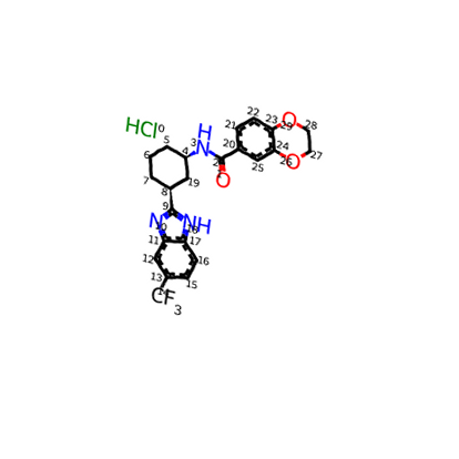 Cl.O=C(N[C@@H]1CCC[C@H](c2nc3cc(C(F)(F)F)ccc3[nH]2)C1)c1ccc2c(c1)OCCO2